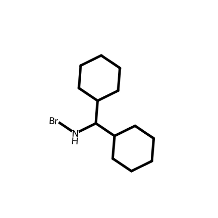 BrNC(C1CCCCC1)C1CCCCC1